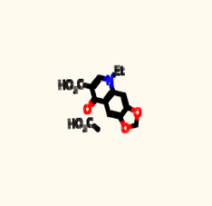 CC(=O)O.CCn1cc(C(=O)O)c(=O)c2cc3c(cc21)OCO3